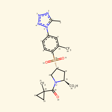 Cc1nnnn1-c1ccc(S(=O)(=O)[C@@H]2C[C@@H](C(=O)O)N(C(=O)C3(C(F)(F)F)CC3)C2)c(C(F)(F)F)c1